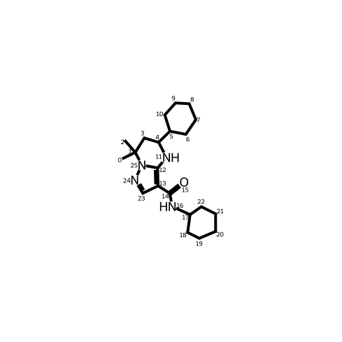 CC1(C)CC(C2CCCCC2)Nc2c(C(=O)NC3CCCCC3)cnn21